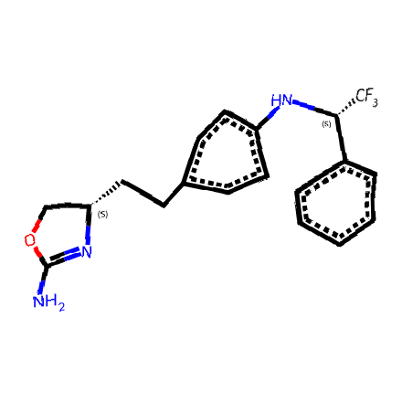 NC1=N[C@@H](CCc2ccc(N[C@@H](c3ccccc3)C(F)(F)F)cc2)CO1